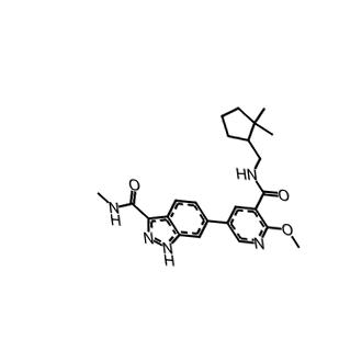 CNC(=O)c1n[nH]c2cc(-c3cnc(OC)c(C(=O)NCC4CCCC4(C)C)c3)ccc12